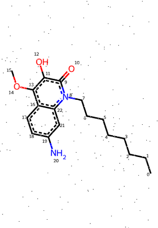 CCCCCCCCn1c(=O)c(O)c(OC)c2ccc(N)cc21